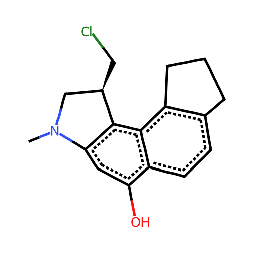 CN1C[C@@H](CCl)c2c1cc(O)c1ccc3c(c21)CCC3